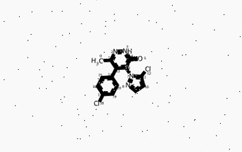 Cc1n[nH]c(=O)c(-n2nccc2Cl)c1-c1ccc(Cl)cc1